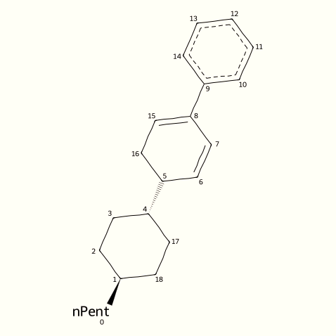 CCCCC[C@H]1CC[C@H](C2C=CC(c3ccccc3)=CC2)CC1